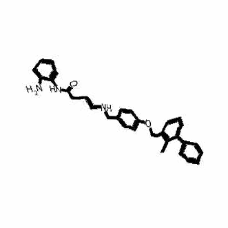 Cc1c(COc2ccc(CNCCCC(=O)Nc3ccccc3N)cc2)cccc1-c1ccccc1